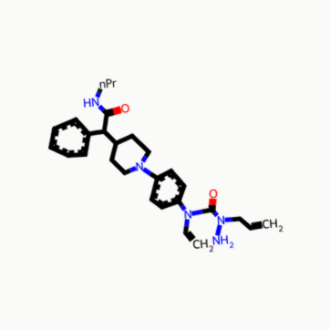 C=CCN(N)C(=O)N(C=C)c1ccc(N2CCC(C(C(=O)NCCC)c3ccccc3)CC2)cc1